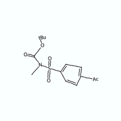 CC(=O)c1ccc(S(=O)(=O)N(C)C(=O)OC(C)(C)C)cc1